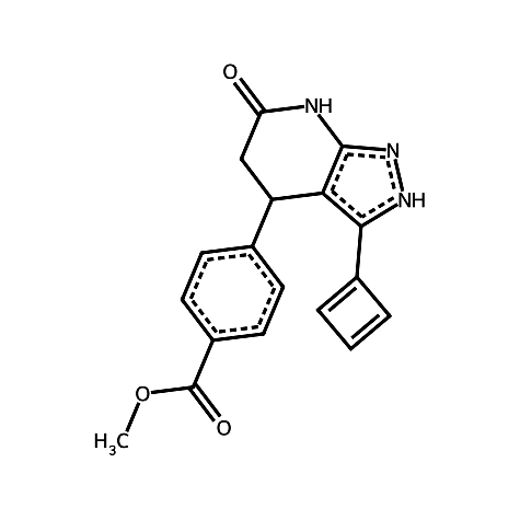 COC(=O)c1ccc(C2CC(=O)Nc3n[nH]c(C4=CC=C4)c32)cc1